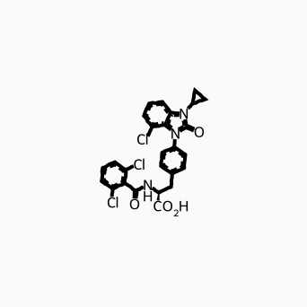 O=C(N[C@@H](Cc1ccc(-n2c(=O)n(C3CC3)c3cccc(Cl)c32)cc1)C(=O)O)c1c(Cl)cccc1Cl